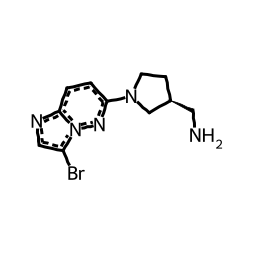 NC[C@@H]1CCN(c2ccc3ncc(Br)n3n2)C1